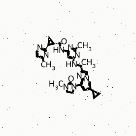 Cc1ccnc([C@H]2C[C@@H]2C(=O)Nc2cc(NC(C)c3cn4cc(C5CC5)cc(N5CCN(C)C5=O)c4n3)nc(C)n2)n1